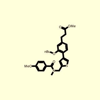 CCCCOc1cc(CCC(=O)OC)ccc1-c1csc(CN(C)C(=O)c2ccc(OC)cc2)c1